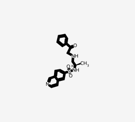 C[C@H](CNCC(=O)c1ccccc1)NS(=O)(=O)c1ccc2cnccc2c1